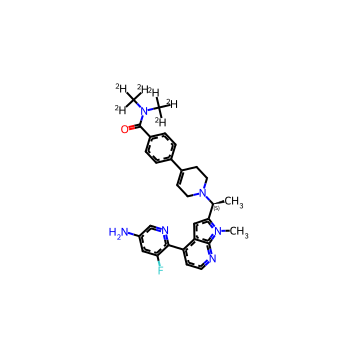 [2H]C([2H])([2H])N(C(=O)c1ccc(C2=CCN([C@@H](C)c3cc4c(-c5ncc(N)cc5F)ccnc4n3C)CC2)cc1)C([2H])([2H])[2H]